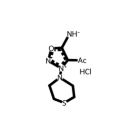 CC(=O)c1c([NH-])on[n+]1N1CCSCC1.Cl